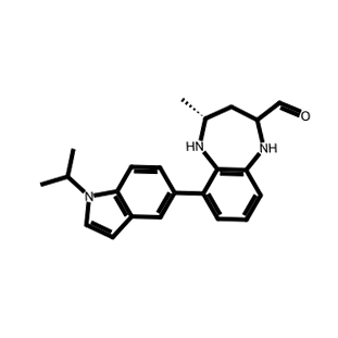 CC(C)n1ccc2cc(-c3cccc4c3N[C@H](C)CC(C=O)N4)ccc21